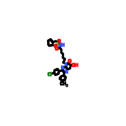 Cc1ccc(-c2nc3c(nc2-c2ccc(Cl)cc2)N(CCCCCCC(=O)NS(=O)(=O)Cc2ccccc2)C(=O)C(O)C3)cc1